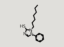 CCCCCCCN1C(S)N=CN1c1ccccc1